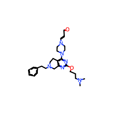 CN(C)CCCOc1nc2c(c(N3CCN(C=CC=O)CC3)n1)CCN(CCc1ccccc1)C2